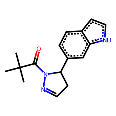 CC(C)(C)C(=O)N1N=CCC1c1ccc2cc[nH]c2c1